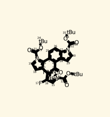 CC(C)(C)NC(=O)c1c(-c2c(-c3nn(C(=O)OC(C)(C)C)cc3F)ccn2C(=O)OC(C)(C)C)ccc2c1ccn2C(=O)OC(C)(C)C